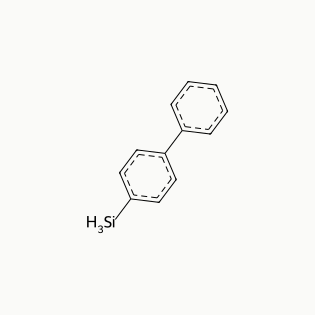 [SiH3]c1ccc(-c2ccccc2)cc1